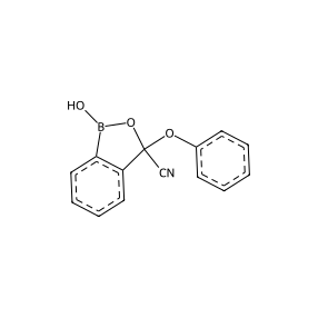 N#CC1(Oc2ccccc2)OB(O)c2ccccc21